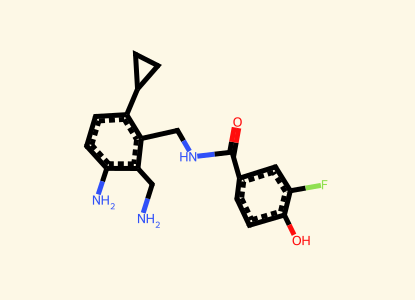 NCc1c(N)ccc(C2CC2)c1CNC(=O)c1ccc(O)c(F)c1